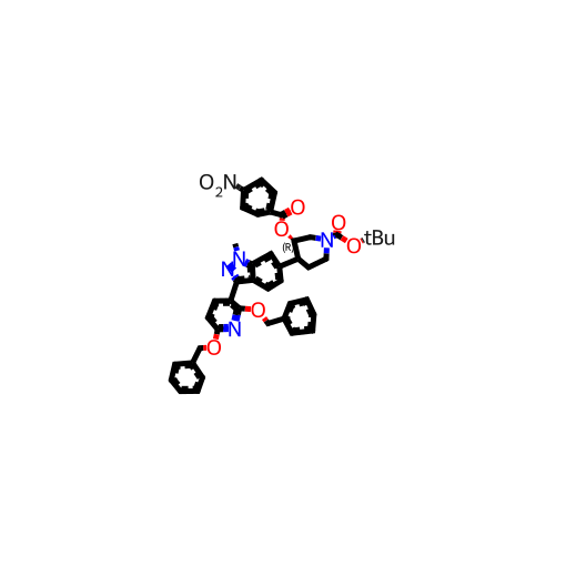 Cn1nc(-c2ccc(OCc3ccccc3)nc2OCc2ccccc2)c2ccc(C3CCN(C(=O)OC(C)(C)C)C[C@@H]3OC(=O)c3ccc([N+](=O)[O-])cc3)cc21